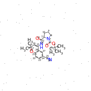 CC(C)(C)OC(=O)N1CCCC1C(=O)NC1=CC(C)(C)Oc2ccc(C#N)cc21